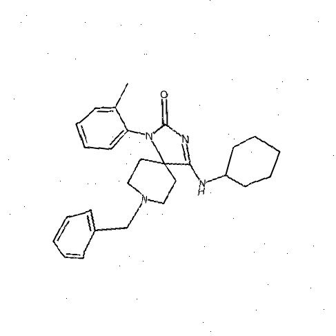 Cc1ccccc1N1C(=O)N=C(NC2CCCCC2)C12CCN(Cc1ccccc1)CC2